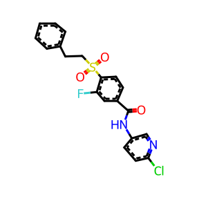 O=C(Nc1ccc(Cl)nc1)c1ccc(S(=O)(=O)CCc2ccccc2)c(F)c1